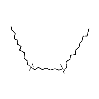 CCCCCCCCCCCC[N+](C)(C)CCCCCCC[N+](C)(C)CCCCCCCCCCCC